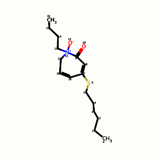 CCCCCCSC1=CC(=O)[N+]([O-])(CCCC)CC=C1